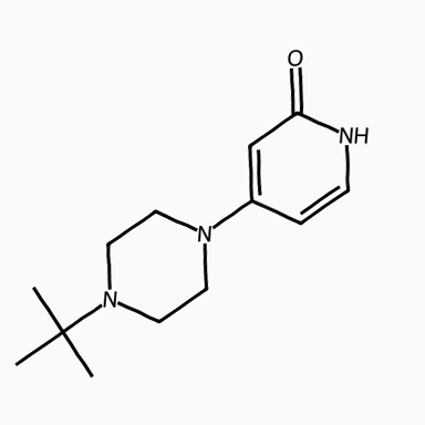 CC(C)(C)N1CCN(c2cc[nH]c(=O)c2)CC1